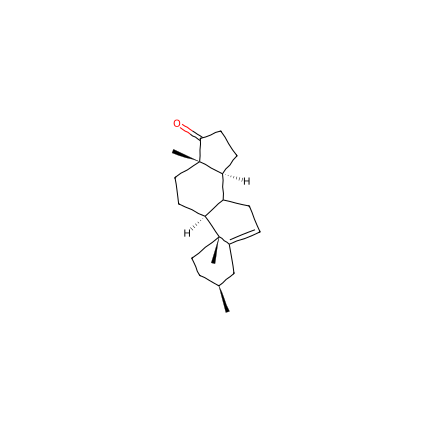 C[C@H]1CC[C@@]2(C)C(=CCC3[C@@H]2CC[C@]2(C)C(=O)CC[C@@H]32)C1